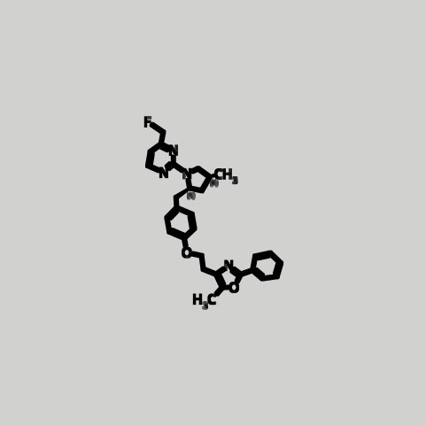 Cc1oc(-c2ccccc2)nc1CCOc1ccc(C[C@@H]2C[C@@H](C)CN2c2nccc(CF)n2)cc1